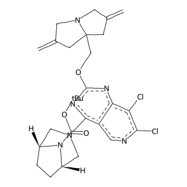 C=C1CN2CC(=C)CC2(COc2nc(N3C[C@H]4CC[C@@H](C3)N4C(=O)OC(C)(C)C)c3cnc(Cl)c(Cl)c3n2)C1